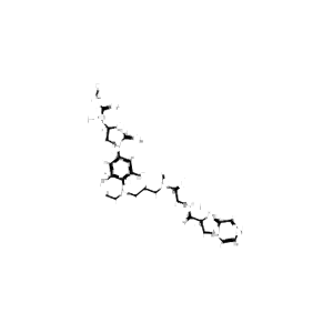 CCN(CCCN(C)C(=O)CNC(=O)C1CN2C=CN=CC2=N1)c1c(F)cc(N2CC(NC(=O)OC)OC2=O)cc1F